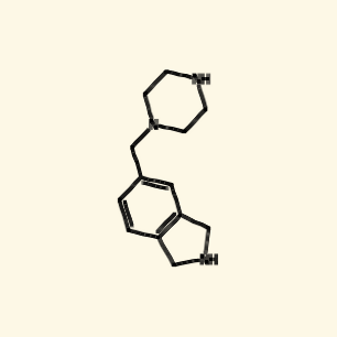 c1cc2c(cc1CN1CCNCC1)CNC2